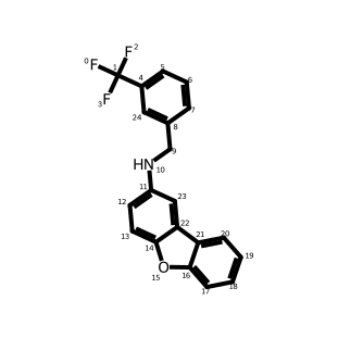 FC(F)(F)c1cccc(CNc2ccc3oc4ccccc4c3c2)c1